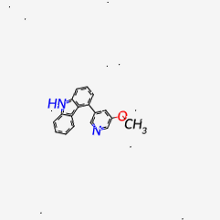 COc1cncc(-c2cccc3[nH]c4ccccc4c23)c1